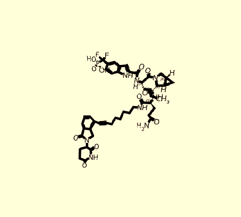 CCCC[C@H](NC(=O)c1cc2cc(C(F)(F)P(=O)(O)O)ccc2[nH]1)C(=O)N1C[C@@H]2C[C@@H]2[C@@H]1C(=O)N[C@@H](CCC(N)=O)C(=O)NCCCCCCC#Cc1cccc2c1CN(C1CCC(=O)NC1=O)C2=O